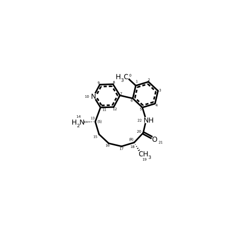 Cc1cccc2c1-c1ccnc(c1)[C@@H](N)CCC[C@@H](C)C(=O)N2